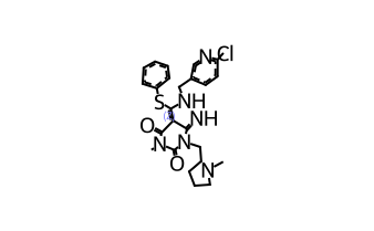 CN1C(=O)/C(=C(/NCc2ccc(Cl)nc2)Sc2ccccc2)C(=N)N(CC2CCCN2C)C1=O